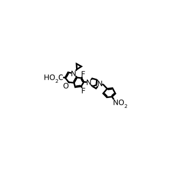 O=C(O)c1cn(C2CC2)c2c(F)c(N3CC4CC3CN4Cc3ccc([N+](=O)[O-])cc3)c(F)cc2c1=O